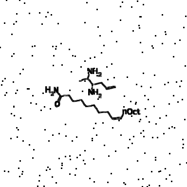 C=CCC(N)C(C)N.CCCCCCCC/C=C\CCCCCCCC(N)=O